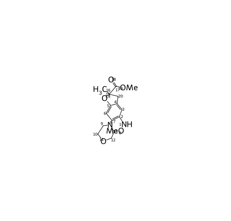 CONc1cc2c(cc1N1CCOCC1)OC(C)(C(=O)OC)C2